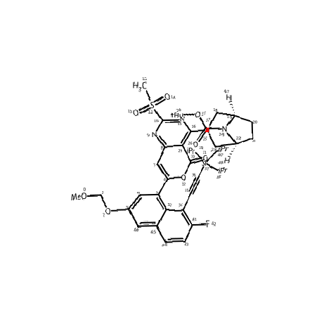 COCOc1cc(-c2cc3nc(S(C)(=O)=O)nc(N4C[C@H]5CC[C@@H](C4)N5C(=O)OC(C)(C)C)c3c(=O)o2)c2c(C#C[Si](C(C)C)(C(C)C)C(C)C)c(F)ccc2c1